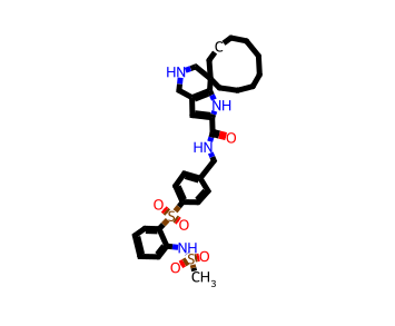 CS(=O)(=O)Nc1ccccc1S(=O)(=O)c1ccc(CNC(=O)c2cc3c([nH]2)C2(CCCCCCCCC2)CNC3)cc1